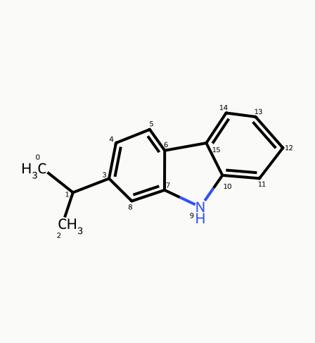 CC(C)c1ccc2c(c1)[nH]c1ccccc12